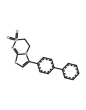 O=S1(=O)CCN2C(c3ccc(-c4ccccc4)cc3)=CSC2=N1